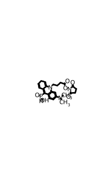 CN(C)c1ccc2c(c1)N(CCCC(=O)ON1C(=O)CCC1=O)C1=CCC=CC1=C2[PH](=O)O